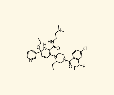 CCOC1(c2cccnc2)C=CC(N2CCN(C(=O)c3ccc(Cl)cc3C(F)F)C[C@H]2CC)=C(C(=O)NCCN(C)C)N1